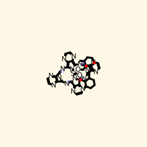 CC1CCCC(C)C1CO[Si]1(OCC2C(C)CCCC2C)n2c3c4nccnc4c2/N=C2N=C(/N=c4/c5nccnc5/c(n41)=N/C1=NC(=N\3)/c3nccnc31)c1nccnc1\2